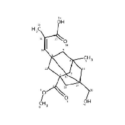 COC(=O)C12CC3(C)CC(C=C(C)C(=O)O)(CC(CO)(C3)C1)C2